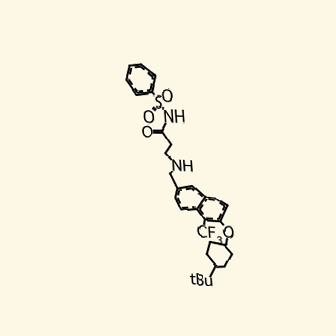 CC(C)(C)C1CCC(Oc2ccc3cc(CNCCC(=O)NS(=O)(=O)c4ccccc4)ccc3c2C(F)(F)F)CC1